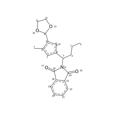 CCCC(c1cc(C)c(C2OCCO2)s1)N1C(=O)c2ccccc2C1=O